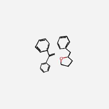 C=C(c1ccccc1)c1ccccc1.c1ccc(CC2CCCO2)cc1